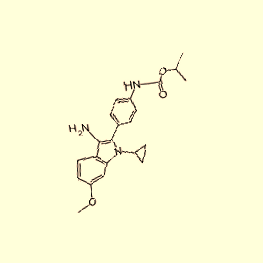 COc1ccc2c(N)c(-c3ccc(NC(=O)OC(C)C)cc3)n(C3CC3)c2c1